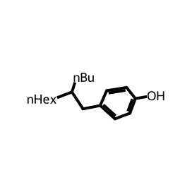 CCCCCCC(CCCC)Cc1ccc(O)cc1